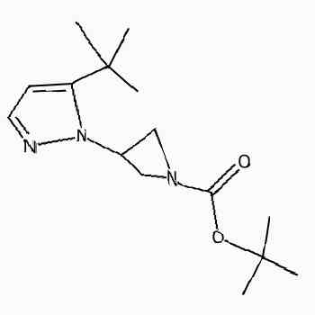 CC(C)(C)OC(=O)N1CC(n2nccc2C(C)(C)C)C1